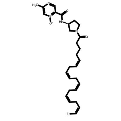 CC/C=C\C/C=C\C/C=C\C/C=C\C/C=C\CCCC(=O)N1CC[C@H](NC(=O)c2cnc(C)c[n+]2[O-])C1